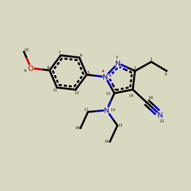 CCc1nn(-c2ccc(OC)cc2)c(N(CC)CC)c1C#N